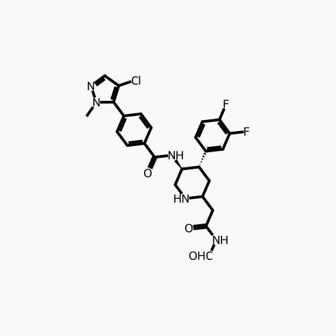 Cn1ncc(Cl)c1-c1ccc(C(=O)N[C@@H]2CNC(CC(=O)NC=O)C[C@H]2c2ccc(F)c(F)c2)cc1